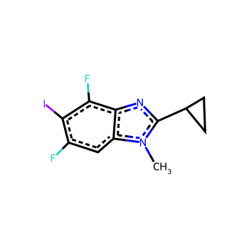 Cn1c(C2CC2)nc2c(F)c(I)c(F)cc21